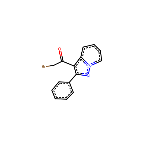 O=C(CBr)c1c(-c2ccccc2)nn2ccccc12